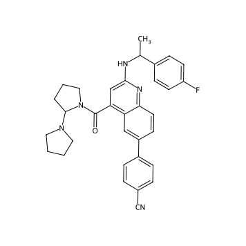 CC(Nc1cc(C(=O)N2CCCC2N2CCCC2)c2cc(-c3ccc(C#N)cc3)ccc2n1)c1ccc(F)cc1